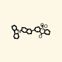 O=C1c2ccccc2S(=O)(=O)c2ccc(-c3ccc4cc(-n5c6ccccc6c6ccccc65)ccc4c3)cc21